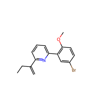 C=C(CC)c1cccc(-c2cc(Br)ccc2OC)n1